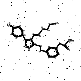 COC(=O)Cc1cccc(SCc2noc(-c3ccc(C(F)(F)F)cc3)c2C=NOCCF)c1